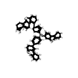 C1=Cc2c(ccc3c2oc2cccc(-c4ccc(N(c5ccc(-c6ccc7sc8ccccc8c7c6)cc5)c5ccc6c(c5)sc5ccccc56)cc4)c23)CC1